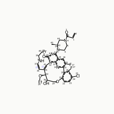 C=CC(=O)N1CCN(c2nc(=O)n3c4nc(c(F)cc24)-c2c(ccc(Cl)c2F)OCC(O)C(OCC)C(/C=C\NCC(C)C)=C\3)[C@@H](C)C1